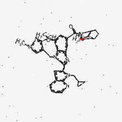 COc1cc(C(=O)N2CC3CCC2[C@@H]3N)cc2nc(-c3cc4cccnc4n3CC3CC3)n(Cc3cn(C)nc3C)c12